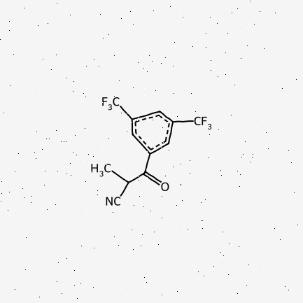 CC(C#N)C(=O)c1cc(C(F)(F)F)cc(C(F)(F)F)c1